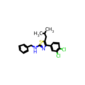 CC(C)Cc1sc(NCc2ccccc2)nc1-c1ccc(Cl)c(Cl)c1